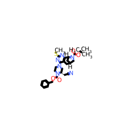 CSc1nc2c(c(N3CCN(C(=O)OCc4ccccc4)[C@@H](CC#N)C3)n1)C[C@@H]1C[C@H]2N(C(=O)OC(C)(C)C)C1